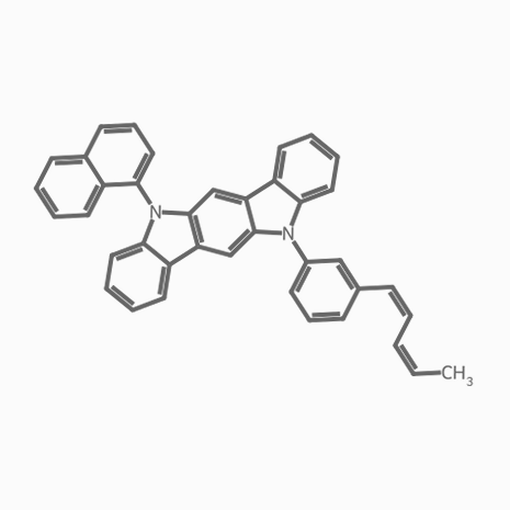 C/C=C\C=C/c1cccc(-n2c3ccccc3c3cc4c(cc32)c2ccccc2n4-c2cccc3ccccc23)c1